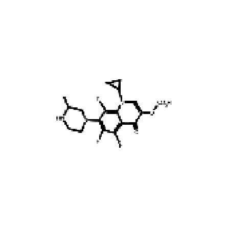 CC1CN(c2c(F)c(F)c3c(=O)c(OC(=O)O)cn(C4CC4)c3c2F)CCN1